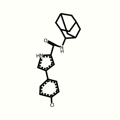 O=C(NC1C2CC3CC(C2)CC1C3)c1cc(-c2ccc(Cl)cc2)c[nH]1